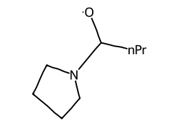 CCCC([O])N1CCCC1